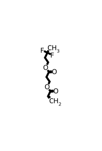 C=CC(=O)OCCC(=O)OCCC(C)(F)F